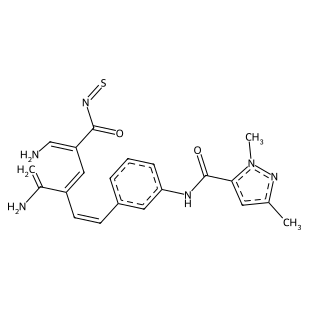 C=C(N)C(/C=C\c1cccc(NC(=O)c2cc(C)nn2C)c1)=C\C(=C/N)C(=O)N=S